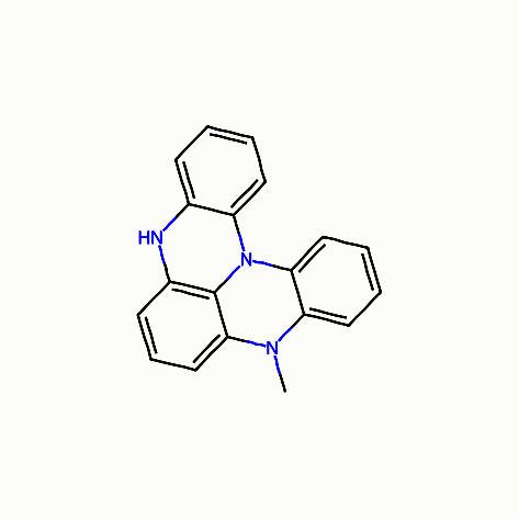 CN1c2ccccc2N2c3ccccc3Nc3cccc1c32